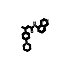 CC(=CC(=O)Nc1cccc2cnccc12)c1ccc(N2CCCCC2)cc1